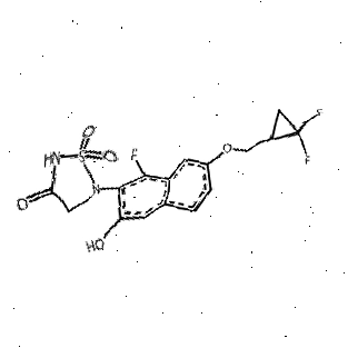 O=C1CN(c2c(O)cc3ccc(OCC4CC4(F)F)cc3c2F)S(=O)(=O)N1